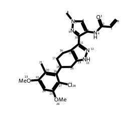 C=CC(=O)Nc1cn(C)nc1-c1n[nH]c2c1CCC(c1c(C)c(OC)cc(OC)c1Cl)C2